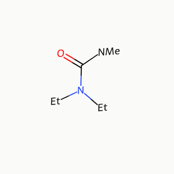 CCN(CC)C(=O)NC